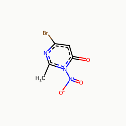 Cc1nc(Br)cc(=O)n1[N+](=O)[O-]